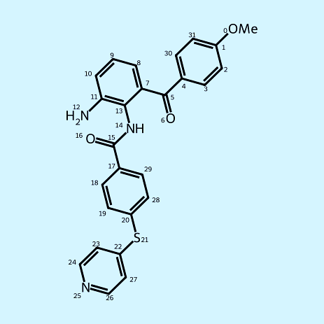 COc1ccc(C(=O)c2cccc(N)c2NC(=O)c2ccc(Sc3ccncc3)cc2)cc1